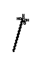 CCCCCCCCCC=CC=CC=CC=CC=CC=C(C(=O)O)C(O)O